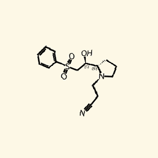 N#CCCN1CCC[C@H]1[C@H](O)CS(=O)(=O)c1ccccc1